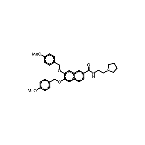 COc1ccc(COc2cc3ccc(C(=O)NCCN4CCCC4)cc3cc2OCc2ccc(OC)cc2)cc1